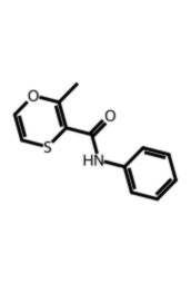 CC1=C(C(=O)Nc2ccccc2)SC=CO1